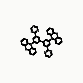 c1ccc2c(c1)Oc1ccccc1N2c1cc(-c2cc(-c3ncncn3)cc(N3c4ccccc4Oc4ccccc43)c2)cc(-c2ncncn2)c1